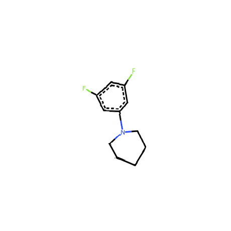 Fc1cc(F)cc(N2C[CH]CCC2)c1